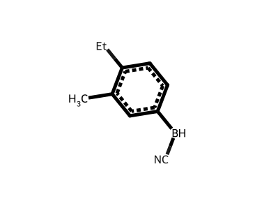 CCc1ccc(BC#N)cc1C